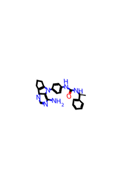 C[C@H](NC(=O)Nc1ccc(-n2c3c(c4ncnc(N)c42)CCC3)cc1)c1ccccc1